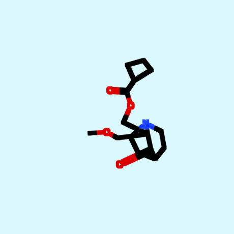 COCC1(COC(=O)C2CCC2)C(=O)C2CCN1CC2